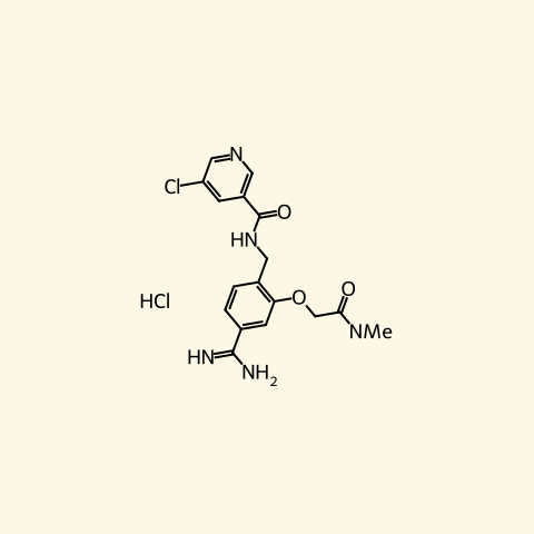 CNC(=O)COc1cc(C(=N)N)ccc1CNC(=O)c1cncc(Cl)c1.Cl